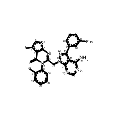 C=C1c2c(C)csc2N=C(Cn2nc(-c3cccc(F)c3)c3c(N)ncnc32)N1c1ccccc1C